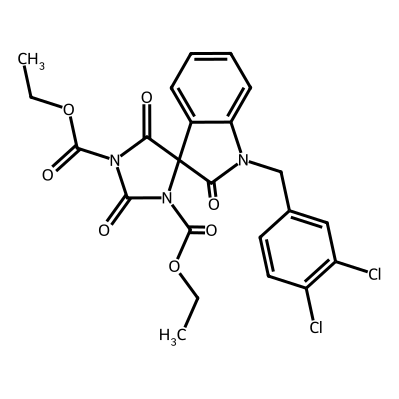 CCOC(=O)N1C(=O)N(C(=O)OCC)C2(C1=O)C(=O)N(Cc1ccc(Cl)c(Cl)c1)c1ccccc12